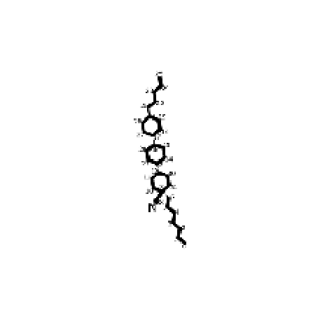 CCCCCCC[C@]1(C#N)CC[C@H](C2CCC([C@H]3CC[C@H](CCCCC)CC3)CC2)CC1